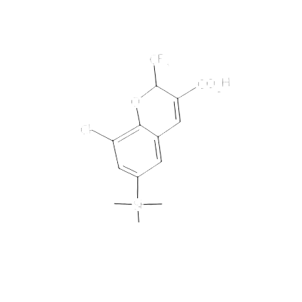 C[Si](C)(C)c1cc(Cl)c2c(c1)C=C(C(=O)O)C(C(F)(F)F)O2